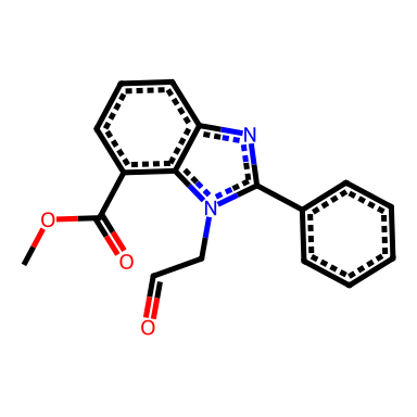 COC(=O)c1cccc2nc(-c3ccccc3)n(CC=O)c12